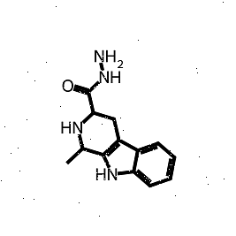 CC1NC(C(=O)NN)Cc2c1[nH]c1ccccc21